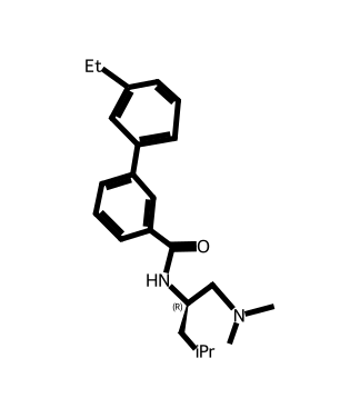 CCc1cccc(-c2cccc(C(=O)N[C@H](CC(C)C)CN(C)C)c2)c1